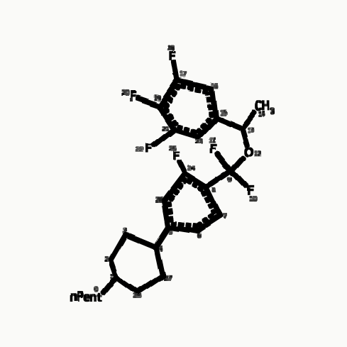 CCCCCC1CCC(c2ccc(C(F)(F)OC(C)c3cc(F)c(F)c(F)c3)c(F)c2)CC1